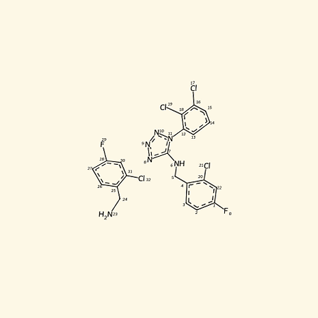 Fc1ccc(CNc2nnnn2-c2cccc(Cl)c2Cl)c(Cl)c1.NCc1ccc(F)cc1Cl